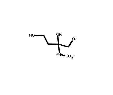 O=C(O)NC(O)(CO)CCO